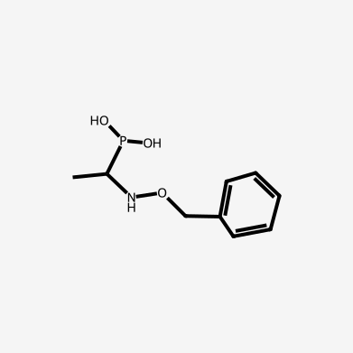 CC(NOCc1ccccc1)P(O)O